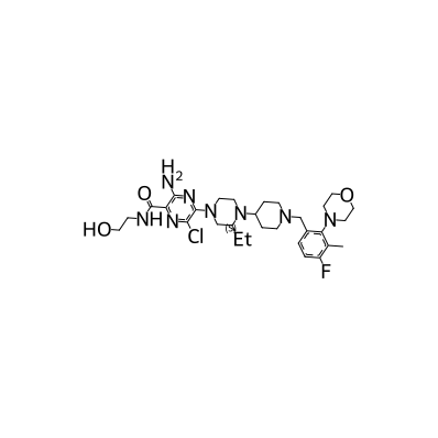 CC[C@H]1CN(c2nc(N)c(C(=O)NCCO)nc2Cl)CCN1C1CCN(Cc2ccc(F)c(C)c2N2CCOCC2)CC1